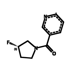 O=C(c1cc[c]nc1)N1CC[C@H](F)C1